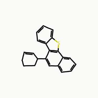 C1=CC(c2cc3ccccc3c3sc4ccccc4c23)CCC1